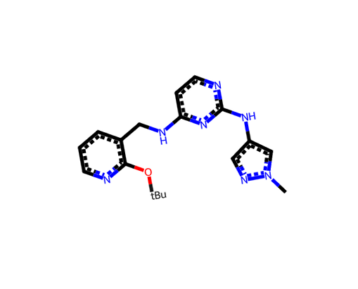 Cn1cc(Nc2nccc(NCc3cccnc3OC(C)(C)C)n2)cn1